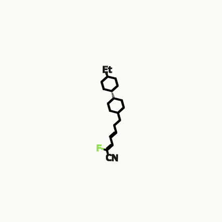 CC[C@H]1CC[C@H](C2CCC(CCC=CC=C(F)C#N)CC2)CC1